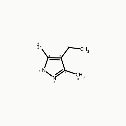 CCC1=C(Br)[N]N=C1C